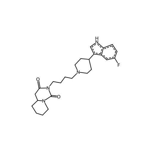 O=C1CC2CCCCN2C(=O)N1CCCCN1CCC(c2c[nH]c3ccc(F)cc23)CC1